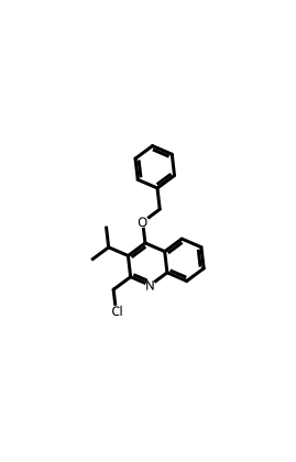 CC(C)c1c(CCl)nc2ccccc2c1OCc1ccccc1